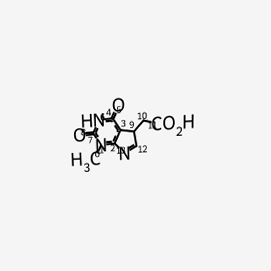 Cn1c2c(c(=O)[nH]c1=O)C(CC(=O)O)C=N2